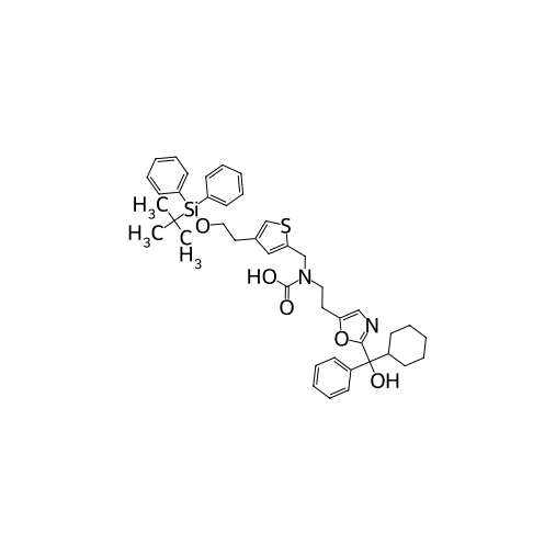 CC(C)(C)[Si](OCCc1csc(CN(CCc2cnc(C(O)(c3ccccc3)C3CCCCC3)o2)C(=O)O)c1)(c1ccccc1)c1ccccc1